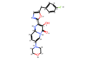 O=c1c(O)c(-c2ncc(Cc3ccc(F)cc3)o2)nc2ccc(N3CCOCC3)cn12